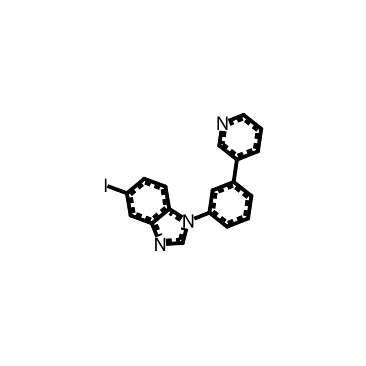 Ic1ccc2c(c1)ncn2-c1cccc(-c2cccnc2)c1